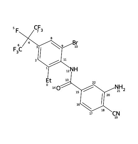 CCc1cc(C(F)(C(F)(F)F)C(F)(F)F)cc(Br)c1NC(=O)c1ccc(C#N)c(N)c1